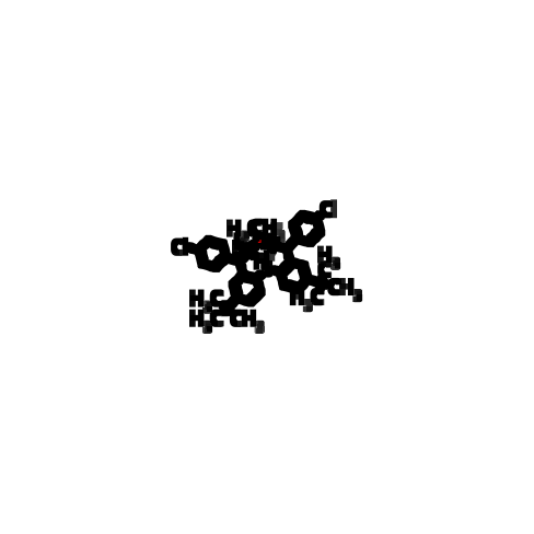 C=C(Br)C(F)(F)C(c1ccc(Cl)cc1)c1cc(C(C)(C)C)ccc1Sc1ccc(C(C)(C)C)cc1C(c1ccc(Cl)cc1)C(F)(F)C(=C)Br